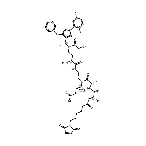 CC(C)[C@H](NC(=O)CCCCCN1C(=O)C=CC1=O)C(=O)N[C@@H](C)C(=O)N(CCNC(=O)[C@@H](N)CCN(C(=O)CO)[C@@H](c1nn(-c2cc(F)ccc2F)cc1Cc1ccccc1)C(C)(C)C)[C@@H](CCC(N)=O)C(=O)O